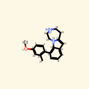 CCOc1ccc(-c2cccc3cc4n(c23)CCNCC4)c(C)c1